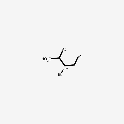 CC[C@@H](CC(C)C)C(C(C)=O)C(=O)O